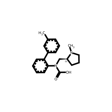 Cc1cccc(-c2ccccc2N(C[C@@H]2CCCN2C)C(=O)O)c1